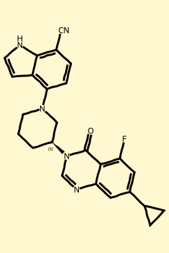 N#Cc1ccc(N2CCC[C@H](n3cnc4cc(C5CC5)cc(F)c4c3=O)C2)c2cc[nH]c12